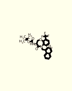 Cc1ccc2ccccc2c1CN1C(=O)[C@@H](NC(=O)OC(C)(C)C)COc2c1cccc2C(F)(F)F